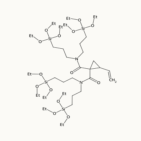 C=CC1CC1(C(=O)N(CCC[Si](OCC)(OCC)OCC)CCC[Si](OCC)(OCC)OCC)C(=O)N(CCC[Si](OCC)(OCC)OCC)CCC[Si](OCC)(OCC)OCC